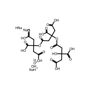 O.O.O=C(O)CC(O)(CC(=O)OC(CC(=O)O)(CC(=O)OC(CC(=O)O)(CC(=O)O)C(=O)O)C(=O)O)C(=O)O.[NaH].[NaH].[NaH]